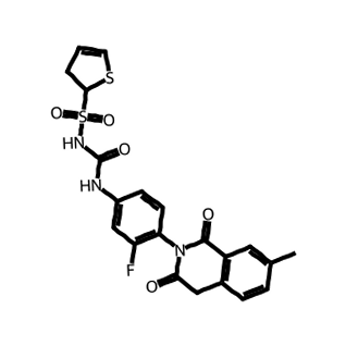 Cc1ccc2c(c1)C(=O)N(c1ccc(NC(=O)NS(=O)(=O)C3CC=CS3)cc1F)C(=O)C2